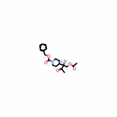 CC(=O)OCC(N)(C(C)=O)C1CCN(C(=O)OCc2ccccc2)CC1